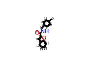 Cc1ccc(CNC(=O)c2cc3ccccc3o2)cc1